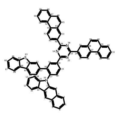 c1ccc2cc3c(cc2c1)c1ccccc1n3-c1ccc(-c2nc(-c3ccc4c(ccc5ccccc54)c3)nc(-c3ccc4c(ccc5ccccc54)c3)n2)cc1-c1ccc2c(c1)sc1ccccc12